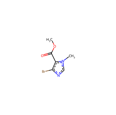 COC(=O)c1c(Br)ncn1C